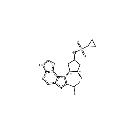 O=S(=O)(NC1C[C@@H](I)[C@@H](n2c(C(F)F)nc3cnc4[nH]ccc4c32)C1)C1CC1